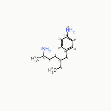 CCC(CCC(C)N)Cc1ccc(N)cc1